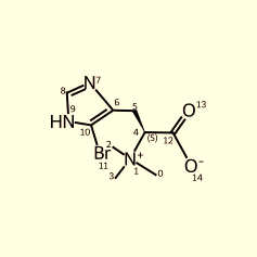 C[N+](C)(C)[C@@H](Cc1nc[nH]c1Br)C(=O)[O-]